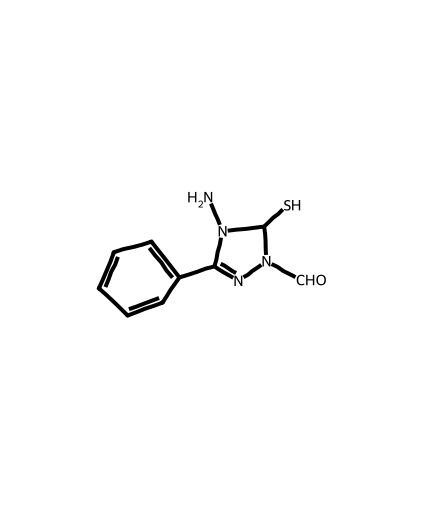 NN1C(c2ccccc2)=NN(C=O)C1S